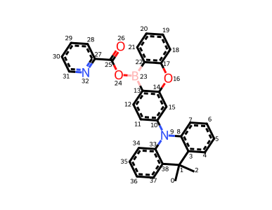 CC1(C)c2ccccc2N(c2ccc3c(c2)Oc2ccccc2B3OC(=O)c2ccccn2)c2ccccc21